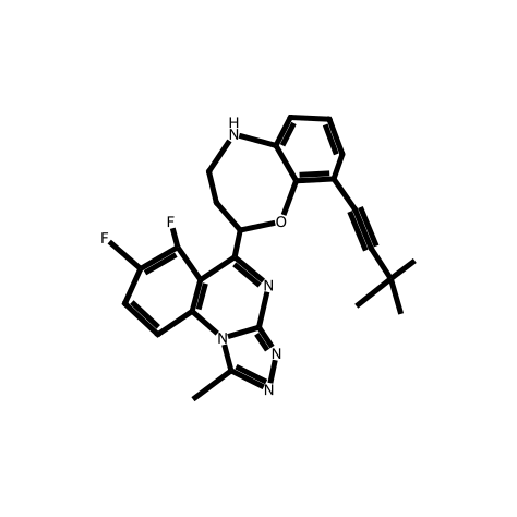 Cc1nnc2nc(C3CCNc4cccc(C#CC(C)(C)C)c4O3)c3c(F)c(F)ccc3n12